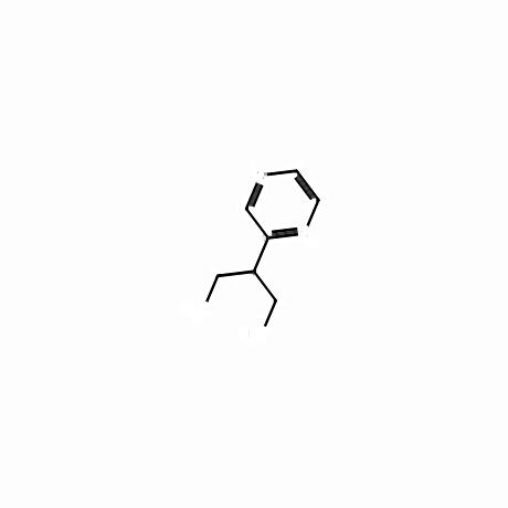 [CH2]CC(CC)c1cnccn1